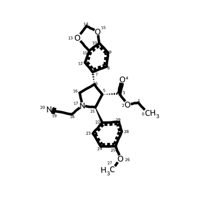 CCOC(=O)[C@H]1[C@@H](c2ccc3c(c2)OCO3)CN(CC#N)[C@@H]1c1ccc(OC)cc1